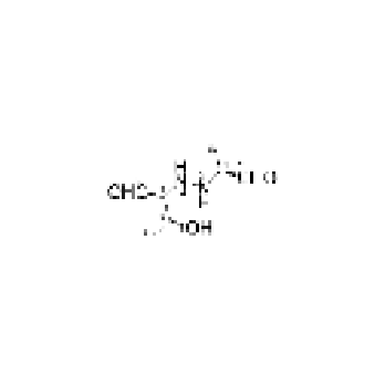 C[C@@H](C=O)NN[C@H](C=O)[C@@H](C)O